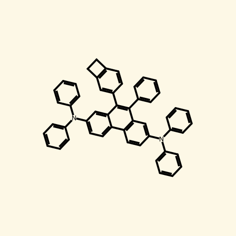 c1ccc(-c2c(-c3ccc4c(c3)CC4)c3cc(N(c4ccccc4)c4ccccc4)ccc3c3ccc(N(c4ccccc4)c4ccccc4)cc23)cc1